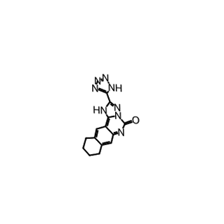 O=c1nc2cc3c(cc2c2[nH]c(-c4nnn[nH]4)nn12)CCCC3